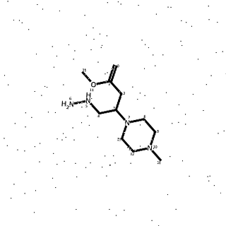 C=C(CC(CNN)N1CCN(C)CC1)OC